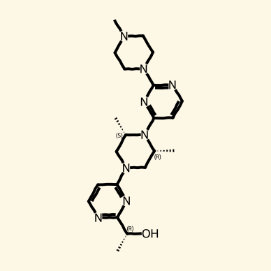 C[C@@H]1CN(c2ccnc([C@@H](C)O)n2)C[C@H](C)N1c1ccnc(N2CCN(C)CC2)n1